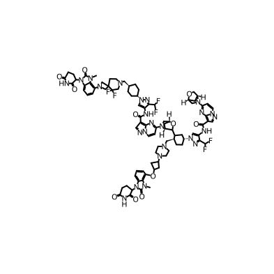 Cn1c(=O)n(C2CCC(=O)NC2=O)c2cccc(OC3CC(N4CCN(C[C@@H]5CC[C@@H](n6cc(NC(=O)c7cnn8ccc(N9C[C@H]%10C[C@@H]9CO%10)nc78)c(C(F)F)n6)CC5C5O[C@@H]6C[C@H]5N(c5ccn7ncc(C(=O)Nc8cn([C@H]9CC[C@H](CN%10CCC%11(CN(c%12cccc%13c%12n(C)c(=O)n%13C%12CCC(=O)NC%12=O)C%11)C(F)(F)C%10)CC9)nc8C(F)F)c7n5)C6)CC4)C3)c21